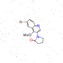 COc1c(N2CCCC2=O)cnc2ccc(Br)cc12